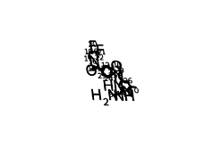 CC1=NC(NN)NC(N2COc3cc(C(=O)N4CCC(F)(F)C4)ccc32)=C1